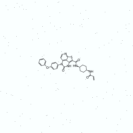 C=CC(=O)N[C@H]1CC[C@@H](NC(=O)c2sc3nccc4c3c2NC(=O)N4c2ccc(Oc3ccccc3)cc2)CC1